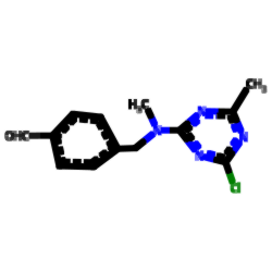 Cc1nc(Cl)nc(N(C)Cc2ccc(C=O)cc2)n1